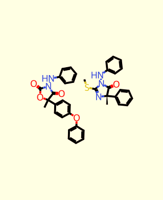 CC1(c2ccc(Oc3ccccc3)cc2)OC(=O)N(Nc2ccccc2)C1=O.CSC1=N[C@@](C)(c2ccccc2)C(=O)N1Nc1ccccc1